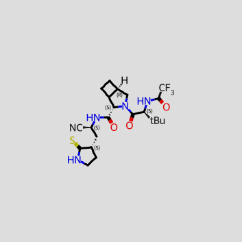 CC(C)(C)[C@H](NC(=O)C(F)(F)F)C(=O)N1C[C@@H]2CCC2[C@H]1C(=O)N[C@H](C#N)C[C@@H]1CCNC1=S